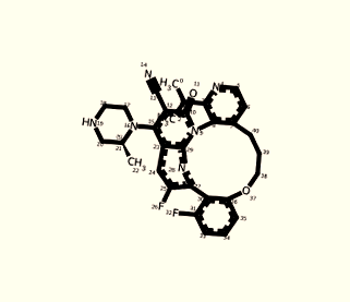 CC(C)c1nccc2c1-n1c(=O)c(C#N)c(N3CCNC[C@@H]3C)c3cc(F)c(nc31)-c1c(F)cccc1OCCC2